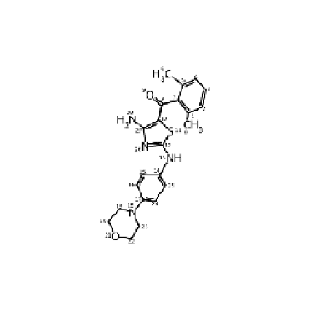 Cc1cccc(C)c1C(=O)c1sc(Nc2ccc(N3CCOCC3)cc2)nc1N